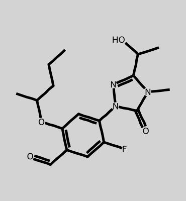 CCCC(C)Oc1cc(-n2nc(C(C)O)n(C)c2=O)c(F)cc1C=O